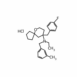 CCN(Cc1cccc(C)c1)C1(Cc2ccc(F)cc2)CCOC2(CCCC2)C1.Cl